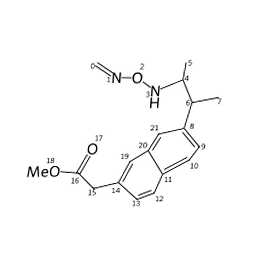 C=NONC(C)C(C)c1ccc2ccc(CC(=O)OC)cc2c1